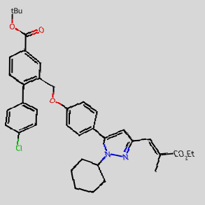 CCOC(=O)C(C)=Cc1cc(-c2ccc(OCc3cc(C(=O)OC(C)(C)C)ccc3-c3ccc(Cl)cc3)cc2)n(C2CCCCC2)n1